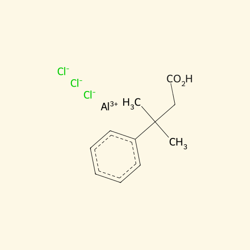 CC(C)(CC(=O)O)c1ccccc1.[Al+3].[Cl-].[Cl-].[Cl-]